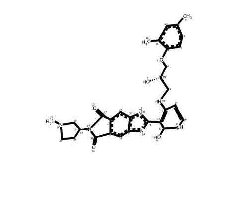 Cc1ccc(OC[C@@H](O)CNC2=C(c3nc4cc5c(cc4[nH]3)C(=O)N([C@H]3CCN(C)C3)C5=O)C(O)NC=C2)c(C)c1